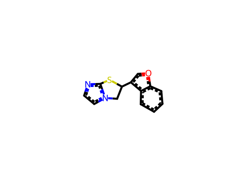 c1ccc2c(C3Cn4ccnc4S3)coc2c1